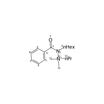 CCCCCCN(C(=O)c1ccccc1)[N+](C)(C)CCC